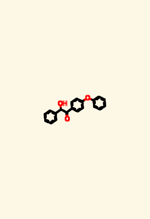 O=C(c1ccc(Oc2ccccc2)cc1)C(O)c1ccccc1